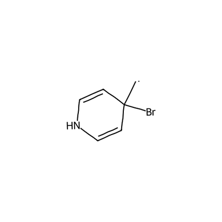 [CH2]C1(Br)C=CNC=C1